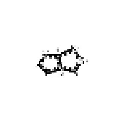 c1cc2csnc2s1